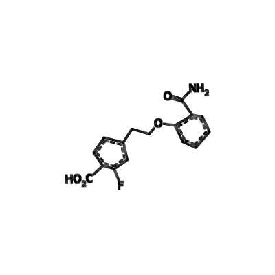 NC(=O)c1ccccc1OCCc1ccc(C(=O)O)c(F)c1